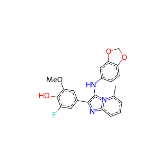 COc1cc(-c2nc3cccc(C)n3c2Nc2ccc3c(c2)OCO3)cc(F)c1O